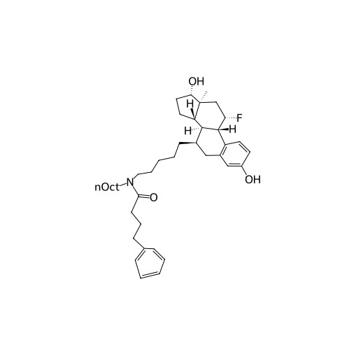 CCCCCCCCN(CCCCC[C@@H]1Cc2cc(O)ccc2[C@@H]2[C@@H]1[C@@H]1CC[C@H](O)[C@@]1(C)C[C@@H]2F)C(=O)CCCc1ccccc1